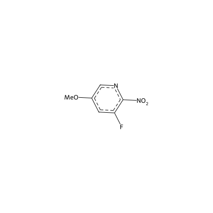 COc1cnc([N+](=O)[O-])c(F)c1